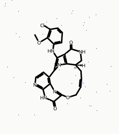 COc1c(Cl)cccc1Nc1c2[nH]c3c1C(=O)NC[C@@H]3C/C=C\COc1nc3c-2ccnc3[nH]c1=O